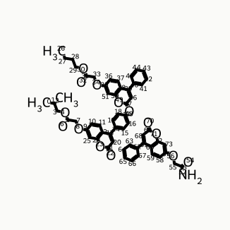 CC(C)COC(=O)COc1ccc2c(-c3ccccc3)cc(=O)oc2c1.CCCCOC(=O)COc1ccc2c(-c3ccccc3)cc(=O)oc2c1.NC(=O)COc1ccc2c(-c3ccccc3)cc(=O)oc2c1